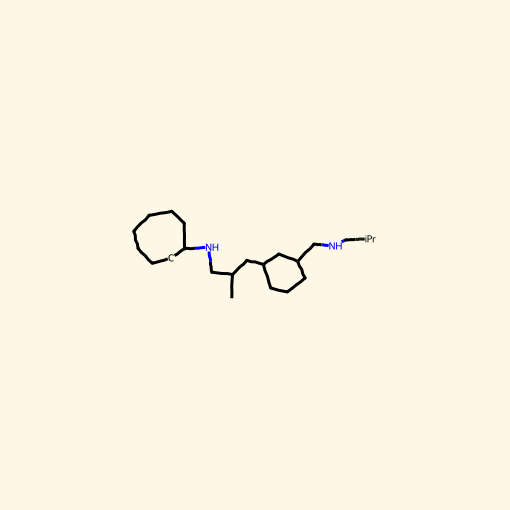 CC(C)CNCC1CCCC(CC(C)CNC2CCCCCCC2)C1